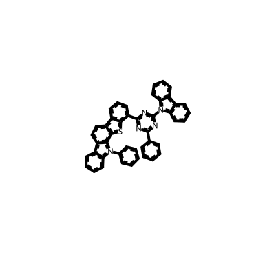 c1ccc(-c2nc(-c3cccc4c3sc3c4ccc4c5ccccc5n(-c5ccccc5)c43)nc(-n3c4ccccc4c4ccccc43)n2)cc1